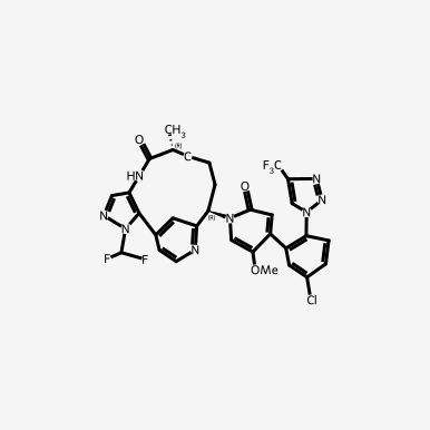 COc1cn([C@@H]2CCC[C@@H](C)C(=O)Nc3cnn(C(F)F)c3-c3ccnc2c3)c(=O)cc1-c1cc(Cl)ccc1-n1cc(C(F)(F)F)nn1